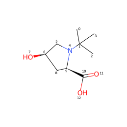 CC(C)(C)N1C[C@H](O)C[C@@H]1C(=O)O